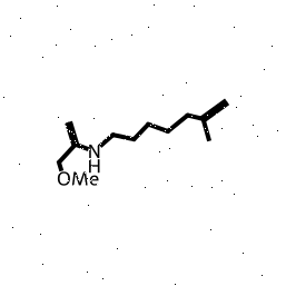 C=C(C)CCCCCNC(=C)COC